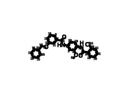 COc1cc(NC(=O)c2cccc(OCc3ccccc3)c2)ccc1NC(=O)c1ccccc1Cl